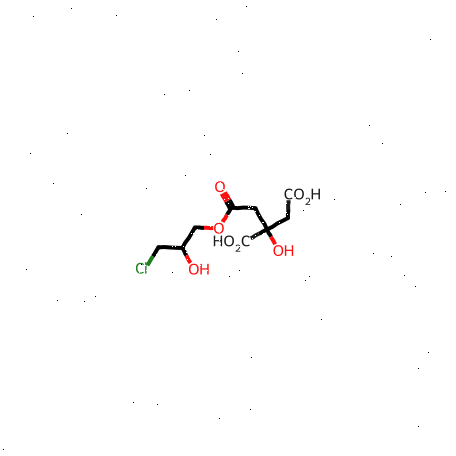 O=C(O)CC(O)(CC(=O)OCC(O)CCl)C(=O)O